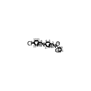 O=C(NCc1ccc(NCc2ccc(Cl)cc2)cc1)[C@H]1CCCO1